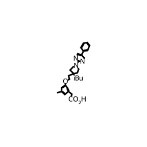 CCC(C)C1(CCOc2cc(C)cc(CC(=O)O)c2)CCN(c2ncc(-c3ccccc3)cn2)CC1